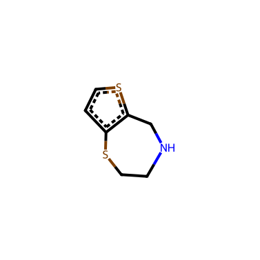 c1cc2c(s1)CNCCS2